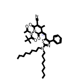 CCCCCCCCN(CCCCCCCC)c1nc(-c2ccccc2)c(/C=C2\C(=O)N(N(C(C)=O)C(=O)C(C)(C)C)C(=O)C(C#N)=C2C)s1